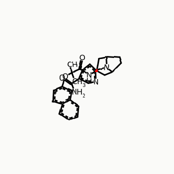 CC(C)(Oc1ccc2ccccc2c1)C(=O)NC1CC2CCC(C1)N2c1ccc(C(N)=O)cn1